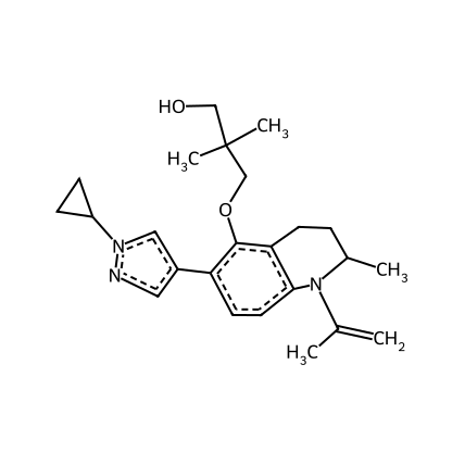 C=C(C)N1c2ccc(-c3cnn(C4CC4)c3)c(OCC(C)(C)CO)c2CCC1C